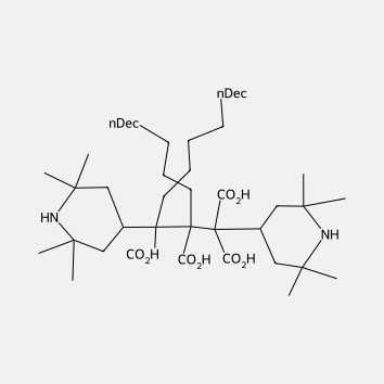 CCCCCCCCCCCCCCC(C(=O)O)(C1CC(C)(C)NC(C)(C)C1)C(CCCCCCCCCCCCC)(C(=O)O)C(C(=O)O)(C(=O)O)C1CC(C)(C)NC(C)(C)C1